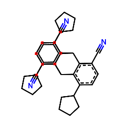 N#Cc1ccc(C2CCCC2)c2c1C1c3c(C4CCCC4)ccc(C#N)c3C2c2c(C#N)ccc(C3CCCC3)c21